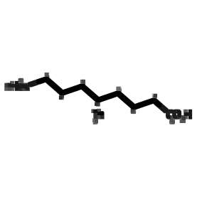 CCCCCCCCCCCCCC(=O)O.[Th]